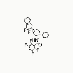 O=C(NCC1(c2ccccc2)CCN(C(Cc2ccccc2)C(F)(F)F)CC1)c1c(F)c(F)cc(F)c1F